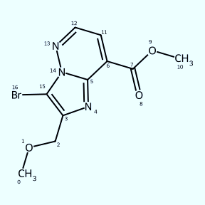 COCc1nc2c(C(=O)OC)ccnn2c1Br